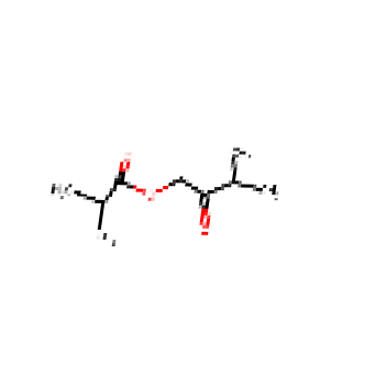 CC(C)C(=O)COC(=O)C(C)C